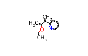 C=C(OCC)C(=C)c1ccccn1